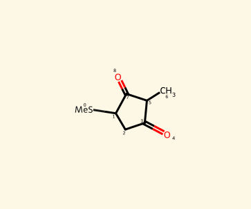 CSC1CC(=O)C(C)C1=O